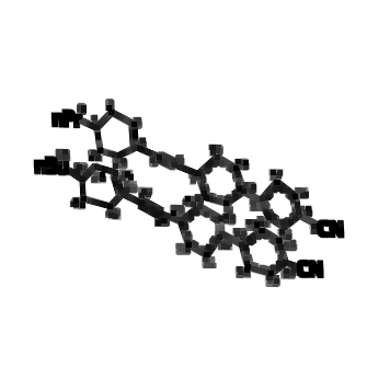 CCCC1CC=C(C#Cc2ccc(-c3ccc(C#N)cc3)cc2)CC1.CCCCC1CC=C(C#Cc2ccc(-c3ccc(C#N)cc3)cc2)CC1